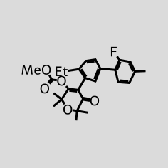 CCc1ccc(-c2ccc(C)cc2F)cc1C1=C(OC(=O)OC)C(C)(C)OC(C)(C)C1=O